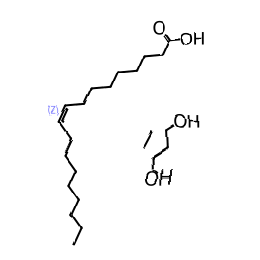 CC.CCCCCCCC/C=C\CCCCCCCC(=O)O.OCCCO